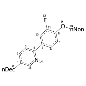 CCCCCCCCCCc1ccc(-c2ccc(OCCCCCCCCC)c(F)c2)nc1